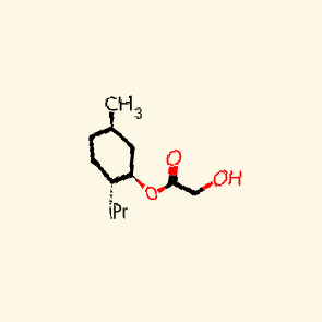 CC(C)[C@@H]1CC[C@@H](C)C[C@H]1OC(=O)CO